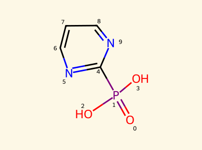 O=P(O)(O)c1ncccn1